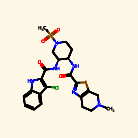 CN1CCc2nc(C(=O)N[C@@H]3CCN(S(C)(=O)=O)C[C@@H]3NC(=O)c3[nH]c4ccccc4c3Cl)sc2C1